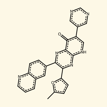 Cc1ccc(-c2nc3[nH]cc(-c4cncnc4)c(=O)c3nc2-c2ccc3ncccc3c2)o1